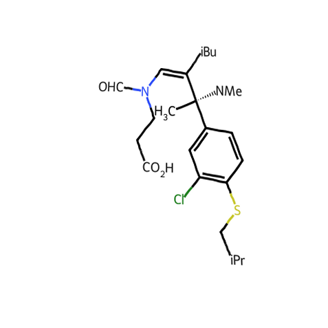 CCC(C)/C(=C/N(C=O)CCC(=O)O)[C@@](C)(NC)c1ccc(SCC(C)C)c(Cl)c1